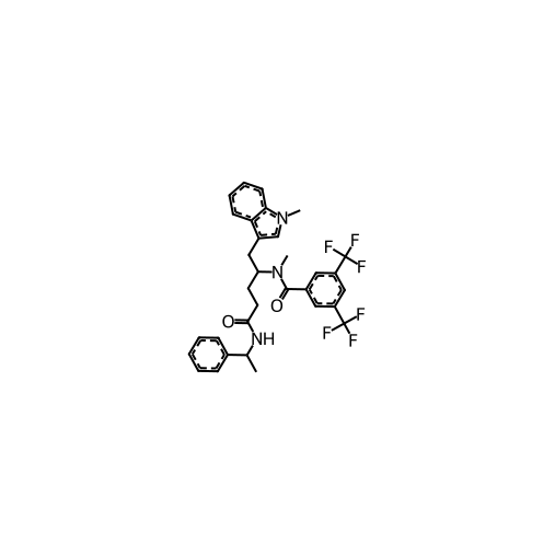 CC(NC(=O)CCC(Cc1cn(C)c2ccccc12)N(C)C(=O)c1cc(C(F)(F)F)cc(C(F)(F)F)c1)c1ccccc1